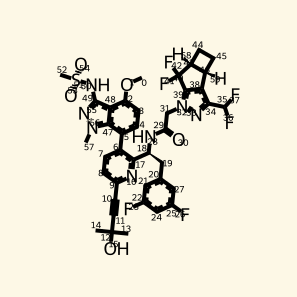 COc1ccc(-c2ccc(C#CC(C)(C)O)nc2[C@H](Cc2cc(F)cc(F)c2)NC(=O)Cn2nc(C(F)F)c3c2C(F)(F)[C@@H]2CC[C@H]32)c2c1c(NS(C)(=O)=O)nn2C